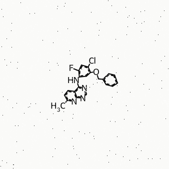 Cc1ccc2c(Nc3cc(OCc4ccccc4)c(Cl)cc3F)ncnc2n1